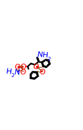 CC(CC/C(=C/N)c1ccccc1S(=O)(=O)c1ccccc1)OS(N)(=O)=O